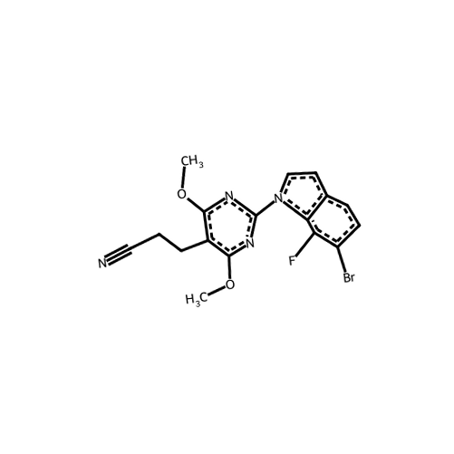 COc1nc(-n2ccc3ccc(Br)c(F)c32)nc(OC)c1CCC#N